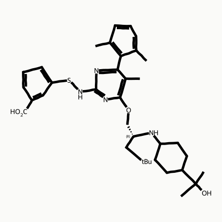 Cc1cccc(C)c1-c1nc(NSc2cccc(C(=O)O)c2)nc(OC[C@@H](CC(C)(C)C)NC2CCC(C(C)(C)O)CC2)c1C